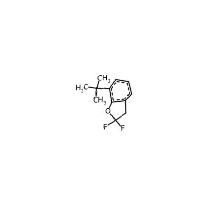 CC(C)(C)c1cccc2c1OC(F)(F)C2